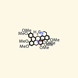 COc1cc2c(Cc3c4c5c(cc(OC)c(OC)c5c5c(OC)c(OC)ccc35)CCN4C)c3c4c(cc(OC)c(OC)c4c2cc1OC)CCN3C